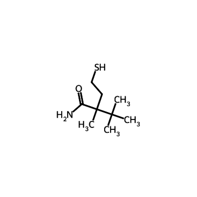 CC(C)(C)C(C)(CCS)C(N)=O